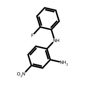 Nc1cc([N+](=O)[O-])ccc1Nc1ccccc1F